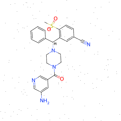 CS(=O)(=O)c1ccc(C#N)cc1[C@@H](c1ccccc1)N1CCN(C(=O)c2cncc(N)c2)CC1